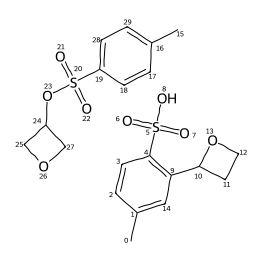 Cc1ccc(S(=O)(=O)O)c(C2CCO2)c1.Cc1ccc(S(=O)(=O)OC2COC2)cc1